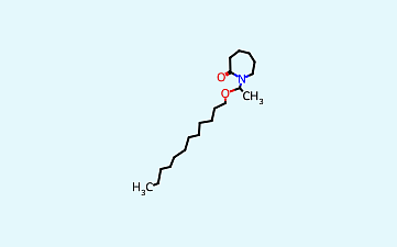 CCCCCCCCCCCCOC(C)N1CCCCCC1=O